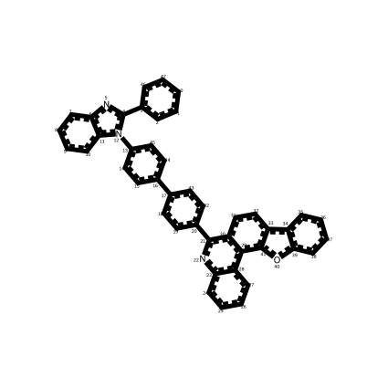 c1ccc(-c2nc3ccccc3n2-c2ccc(-c3ccc(-c4nc5ccccc5c5c4ccc4c6ccccc6oc45)cc3)cc2)cc1